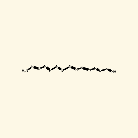 N=N/N=N/N=N/N=N/N=N/N=N/N=N/N